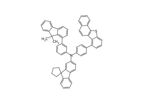 CC1(C)c2ccccc2-c2cccc(-c3cccc(N(c4ccc(-c5cccc6sc7c8ccccc8ccc7c56)cc4)c4ccc5c(c4)C4(CCCC4)c4ccccc4-5)c3)c21